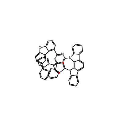 c1ccc(-c2ccc(-n3c4ccccc4c4ccc5c6ccccc6n(-c6nc(-c7ccccc7)nc(-c7cccc8oc9ccc(-c%10ccccc%10)cc9c78)n6)c5c43)cc2)cc1